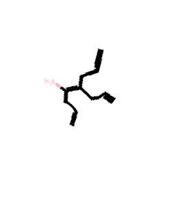 BC(CC=C)=C(CC=C)CC=C